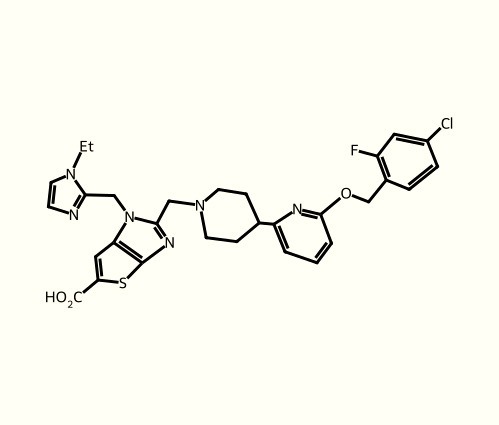 CCn1ccnc1Cn1c(CN2CCC(c3cccc(OCc4ccc(Cl)cc4F)n3)CC2)nc2sc(C(=O)O)cc21